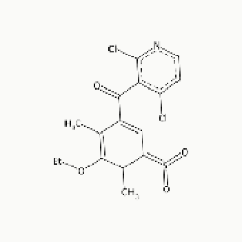 CCOC1=C(C)C(C(=O)c2c(Cl)ccnc2Cl)=CC(=S(=O)=O)C1C